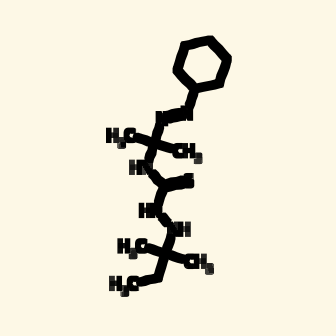 CCC(C)(C)NNC(=S)NC(C)(C)N=NC1CCCCC1